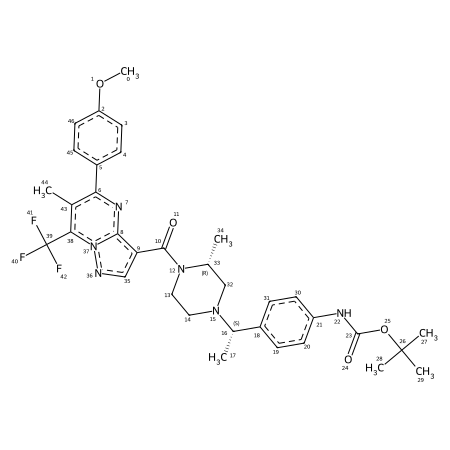 COc1ccc(-c2nc3c(C(=O)N4CCN([C@@H](C)c5ccc(NC(=O)OC(C)(C)C)cc5)C[C@H]4C)cnn3c(C(F)(F)F)c2C)cc1